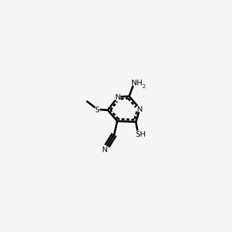 CSc1nc(N)nc(S)c1C#N